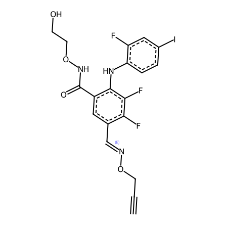 C#CCO/N=C/c1cc(C(=O)NOCCO)c(Nc2ccc(I)cc2F)c(F)c1F